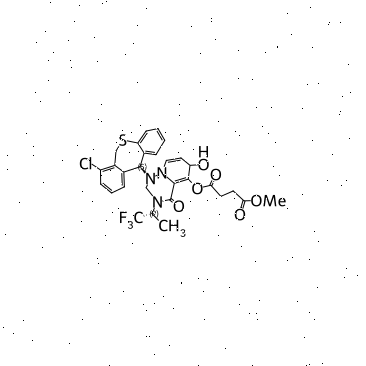 COC(=O)CCC(=O)OC1=C2C(=O)N([C@H](C)C(F)(F)F)CN([C@@H]3c4ccccc4SCc4c(Cl)cccc43)N2C=CC1O